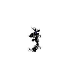 CC(C)C[C@@H](/C=C/[C@H](Cc1ccccc1)C(=O)N1CCC[C@H]1C(=O)N[C@@H](CCCCNC(=O)OC1CC(C)(C)N(O)C(C)(C)C1)C(=O)NC(C)(C)C)NC(=O)O